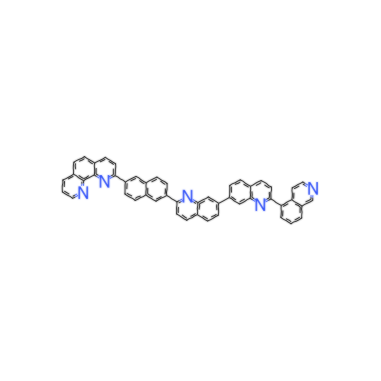 c1cc(-c2ccc3ccc(-c4ccc5ccc(-c6ccc7cc(-c8ccc9ccc%10cccnc%10c9n8)ccc7c6)nc5c4)cc3n2)c2ccncc2c1